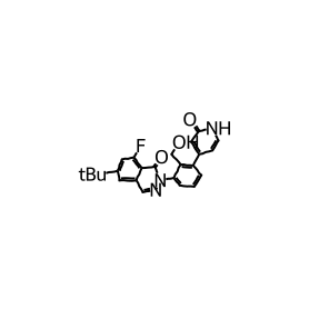 CC(C)(C)c1cc(F)c2c(=O)n(-c3cccc(-c4cc[nH]c(=O)c4)c3CO)ncc2c1